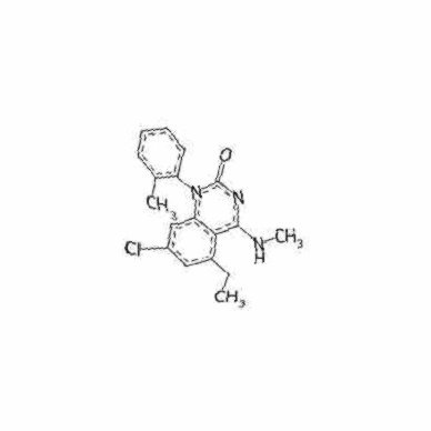 CCc1cc(Cl)cc2c1c(NC)nc(=O)n2-c1ccccc1C